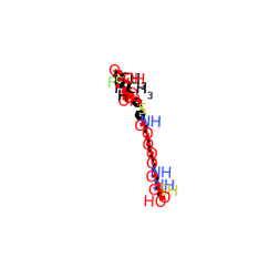 C[C@]12C=CC(=O)C=C1[C@@H](F)C[C@H]1C3C[C@H]4O[C@@H](c5ccc(Sc6cccc(NC(=O)CCOCCOCCOCCOCCNC(=O)CCNC(=O)C(S)CC(=O)O)c6)cc5)O[C@@]4(C(=O)CO)[C@@]3(C)C[C@H](O)[C@@]12F